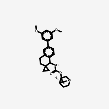 COc1cc(OC)cc(-c2ccc3c(c2)CCC2(CC2)C3NC(=O)O[C@H]2CN3CCC2CC3)c1